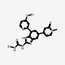 CCNC(=O)Nc1nc2cc(-c3ccn(C)c(=O)c3)cc(-c3cc(OCC)ccn3)c2[nH]1